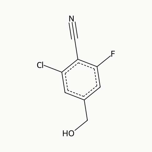 N#Cc1c(F)cc(CO)cc1Cl